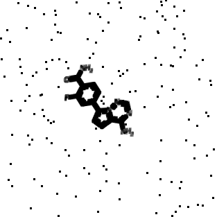 NC(=O)c1ccc(-c2ccc3c(N)ncnn23)cc1F